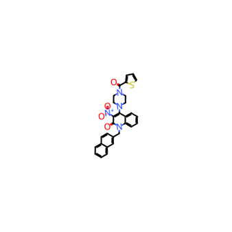 O=C(c1cccs1)N1CCN(c2c([N+](=O)[O-])c(=O)n(Cc3ccc4ccccc4c3)c3ccccc23)CC1